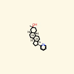 C[C@@]1(O)CC[C@H]2[C@H](CC[C@@H]3[C@@H]2CC[C@]2(C)[C@@H](c4ccccn4)CC[C@@H]32)C1